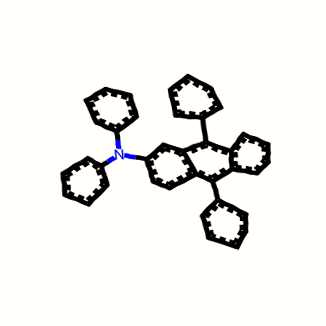 c1ccc(-c2c3ccccc3c(-c3ccccc3)c3cc(N(c4ccccc4)c4ccccc4)ccc23)cc1